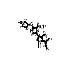 Cc1nc(-c2c[nH]c3c(C#N)cccc23)cnc1SC1CCNC1.Cl